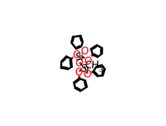 C[Si](Oc1ccccc1)(Oc1ccccc1)O[Si](Oc1ccccc1)(Oc1ccccc1)Oc1ccccc1